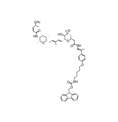 CC(=O)O[C@@H](C)/C=C\C(=O)N[C@@H]1C[C@H](C)[C@H](C/C=C(C)/C=C/[C@H]2O[C@H](CC(=O)NN=C(C)c3ccc(OCCCCCNC(=O)OCC4c5ccccc5-c5ccccc54)cc3)C[C@@]3(CO3)[C@@H]2O)O[C@@H]1C